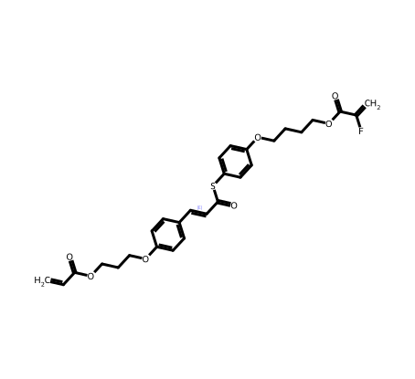 C=CC(=O)OCCCOc1ccc(/C=C/C(=O)Sc2ccc(OCCCCOC(=O)C(=C)F)cc2)cc1